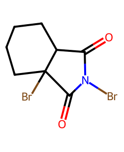 O=C1C2CCCCC2(Br)C(=O)N1Br